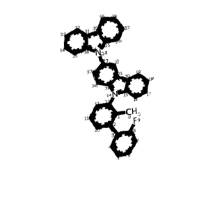 Cc1c(-c2ccccc2F)cccc1-n1c2ccccc2c2cc(-n3c4ccccc4c4ccccc43)ccc21